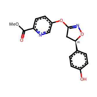 COC(=O)c1ccc(OC2=NO[C@@H](c3ccc(O)cc3)C2)cn1